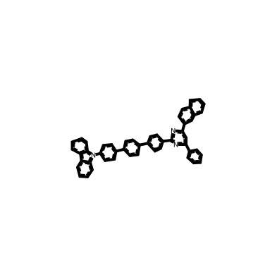 c1ccc(-c2cc(-c3ccc4ccccc4c3)nc(-c3ccc(-c4ccc(-c5ccc(-n6c7ccccc7c7ccccc76)cc5)cc4)cc3)n2)cc1